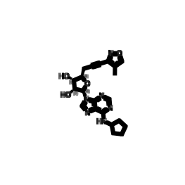 Cc1conc1C#CC[C@H]1O[C@@H](n2cnc3c(NC4CCCC4)ncnc32)[C@H](O)[C@@H]1O